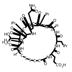 CC(C)CC1NC(=O)C(CCC(=O)O)NC(=O)CCSSC[C@@H]2NC(=O)C(C)NC(=O)C(C(C)C)NC(=O)C(CC(N)=O)NC(=O)C(C(C)C)NC(=O)[C@H](CSSCCNC(=O)CNC(=O)C(C(C)O)NC2=O)NC1=O